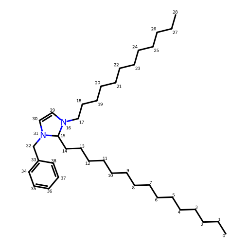 CCCCCCCCCCCCCCCC1N(CCCCCCCCCCCC)C=CN1Cc1ccccc1